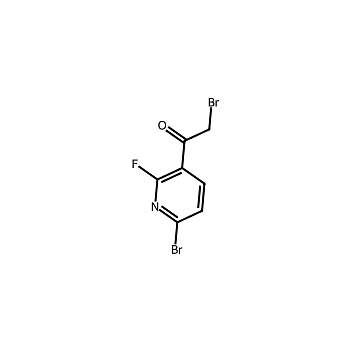 O=C(CBr)c1ccc(Br)nc1F